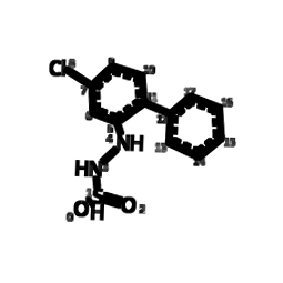 O=[SH](=O)NNc1cc(Cl)ccc1-c1ccccc1